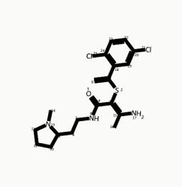 C=C(S/C(C(=O)NCCC1CCCN1C)=C(/C)N)c1cc(Cl)ccc1Cl